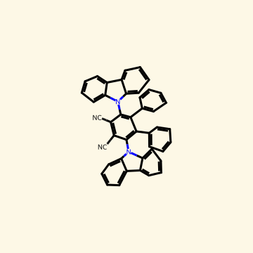 N#Cc1c(C#N)c(-n2c3ccccc3c3ccccc32)c(-c2ccccc2)c(-c2ccccc2)c1-n1c2ccccc2c2ccccc21